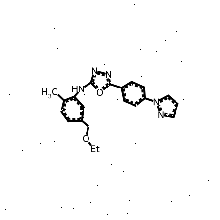 CCOCc1ccc(C)c(Nc2nnc(-c3ccc(-n4cccn4)cc3)o2)c1